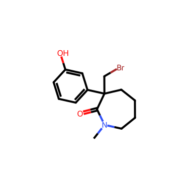 CN1CCCCC(CBr)(c2cccc(O)c2)C1=O